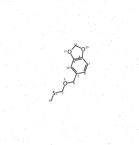 CSCOCc1ccc2c(c1)OCO2